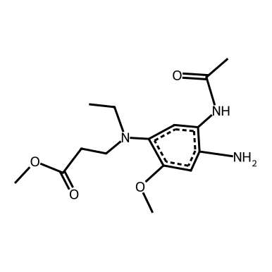 CCN(CCC(=O)OC)c1cc(NC(C)=O)c(N)cc1OC